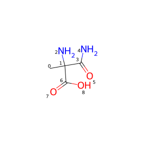 CC(N)(C(N)=O)C(=O)O